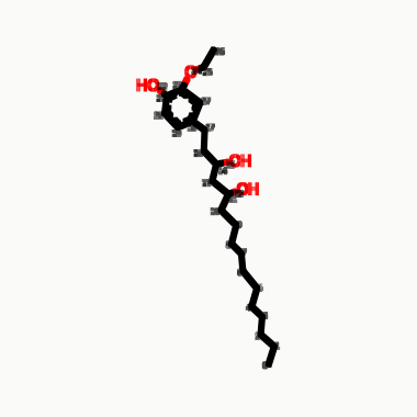 CCCCCCCCCCCC(O)CC(O)CCc1ccc(O)c(OCC)c1